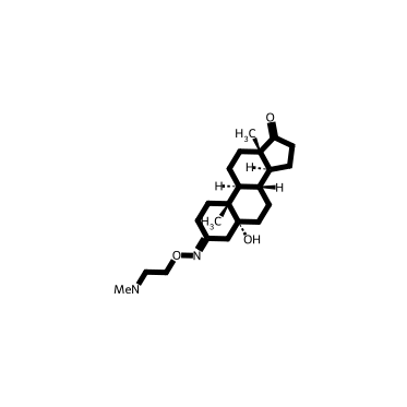 CNCCON=C1CC[C@]2(C)[C@H]3CC[C@]4(C)C(=O)CC[C@H]4[C@@H]3CC[C@@]2(O)C1